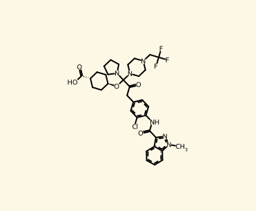 Cn1nc(C(=O)Nc2ccc(CC(=O)C(O[C@H]3CC[C@H](C(=O)O)CC3)(N3CCCC3)N3CCN(CC(F)(F)F)CC3)cc2Cl)c2ccccc21